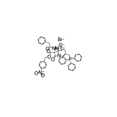 O=C(Cc1ccccc1)N[C@@]1(C(=O)OCc2ccc([N+](=O)[O-])cc2)C(=O)N2C=C(C[P+](c3ccccc3)(c3ccccc3)c3ccccc3)C[S@+]([O-])[C@@H]21.[Br-]